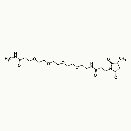 CNC(=O)CCOCCOCCOCCOCCNC(=O)CCN1C(=O)CC(C)C1=O